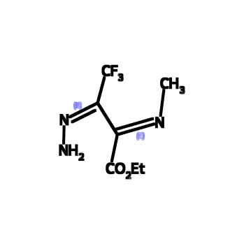 CCOC(=O)C(=N/C)/C(=N\N)C(F)(F)F